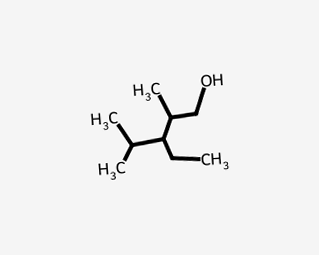 CCC(C(C)C)C(C)CO